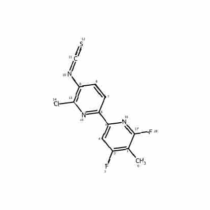 Cc1c(F)cc(-c2ccc(N=C=S)c(Cl)n2)nc1F